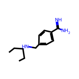 CCC(CC)NCc1ccc(C(=N)N)cc1